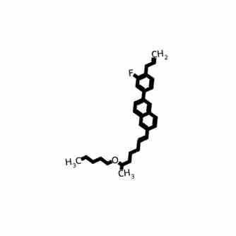 C=CCc1ccc(-c2ccc3cc(C=CCCCC(C)OCCCCC)ccc3c2)cc1F